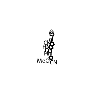 COc1cc(NCc2cc3ccc(OCC4CCOCC4)c(Cl)c3[nH]c2=O)ccc1C#N